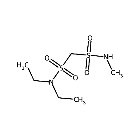 CCN(CC)S(=O)(=O)[CH]S(=O)(=O)NC